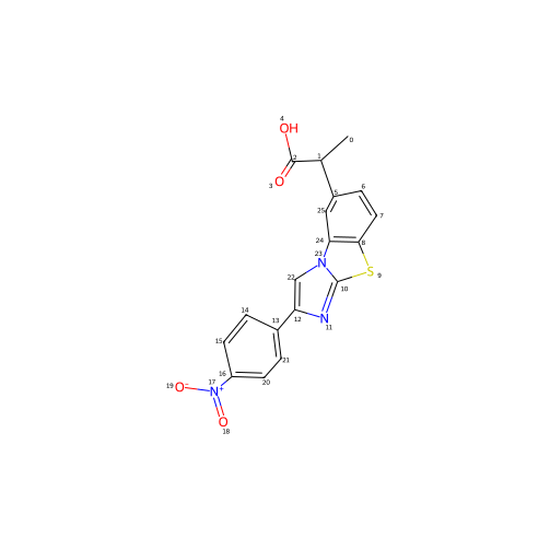 CC(C(=O)O)c1ccc2sc3nc(-c4ccc([N+](=O)[O-])cc4)cn3c2c1